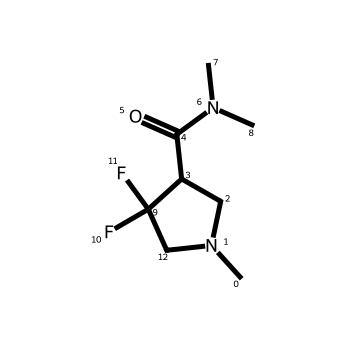 CN1CC(C(=O)N(C)C)C(F)(F)C1